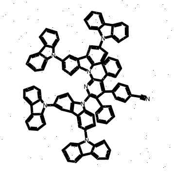 N#Cc1ccc(-c2c(-c3ccccc3)c(-n3c4ccc(-n5c6ccccc6c6ccccc65)cc4c4cc(-n5c6ccccc6c6ccccc65)ccc43)nc(-n3c4ccc(-n5c6ccccc6c6ccccc65)cc4c4cc(-n5c6ccccc6c6ccccc65)ccc43)c2-c2ccccc2)cc1